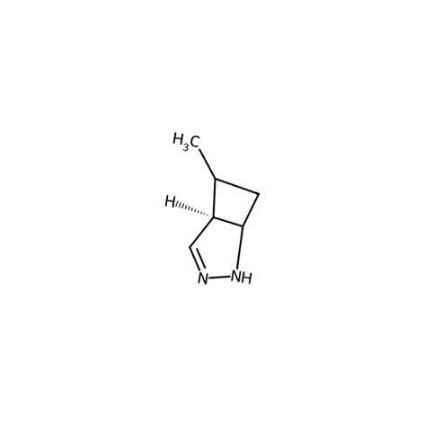 CC1CC2NN=C[C@@H]12